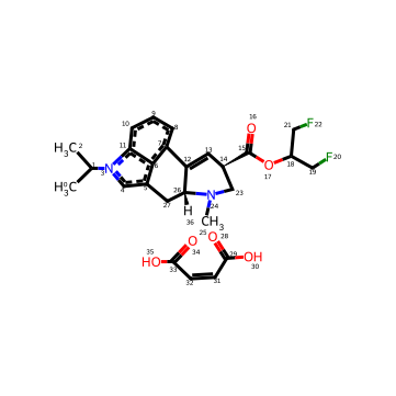 CC(C)n1cc2c3c(cccc31)C1=C[C@@H](C(=O)OC(CF)CF)CN(C)[C@@H]1C2.O=C(O)/C=C\C(=O)O